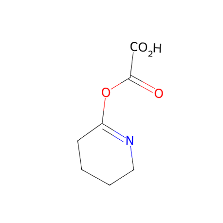 O=C(O)C(=O)OC1=NCCCC1